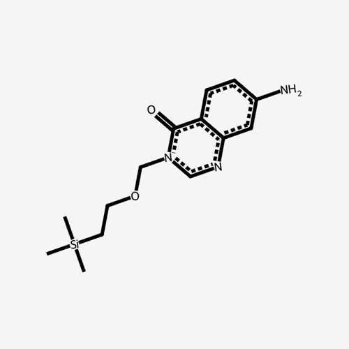 C[Si](C)(C)CCOCn1cnc2cc(N)ccc2c1=O